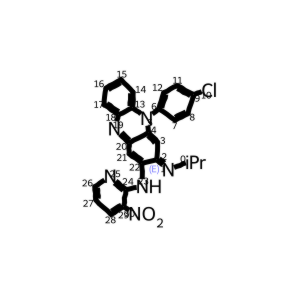 CC(C)/N=c1\cc2n(-c3ccc(Cl)cc3)c3ccccc3nc-2cc1Nc1ncccc1[N+](=O)[O-]